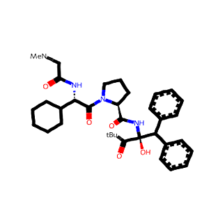 CNCC(=O)N[C@H](C(=O)N1CCC[C@H]1C(=O)N[C@@](O)(C(=O)C(C)(C)C)C(c1ccccc1)c1ccccc1)C1CCCCC1